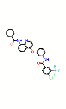 O=C(Nc1cccc(Oc2ccnc3c(NC(=O)c4ccccc4)cccc23)c1)c1ccc(Cl)c(C(F)(F)F)c1